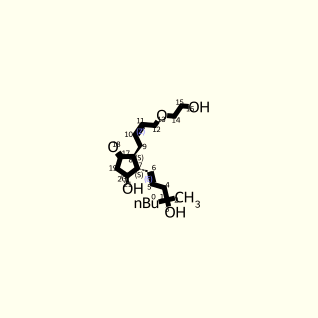 CCCCC(C)(O)C/C=C/[C@H]1[C@H](C/C=C\COCCO)C(=O)C[C@@H]1O